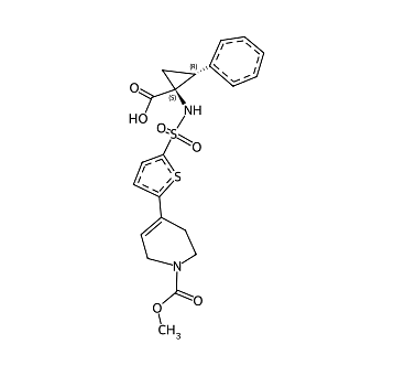 COC(=O)N1CC=C(c2ccc(S(=O)(=O)N[C@@]3(C(=O)O)C[C@@H]3c3ccccc3)s2)CC1